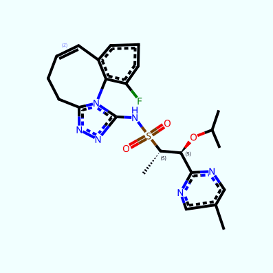 Cc1cnc([C@H](OC(C)C)[C@H](C)S(=O)(=O)Nc2nnc3n2-c2c(F)cccc2/C=C\CC3)nc1